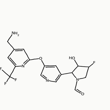 NCc1cc(Oc2cncc(C3C(O)C(F)CN3C=O)c2)nc(C(F)(F)F)c1